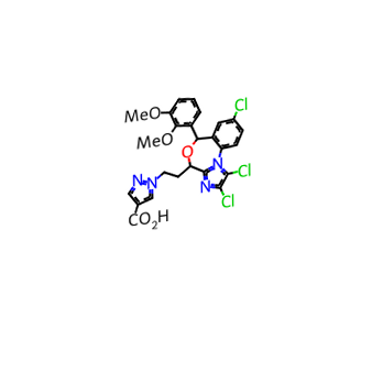 COc1cccc(C2OC(CCn3cc(C(=O)O)cn3)c3nc(Cl)c(Cl)n3-c3ccc(Cl)cc32)c1OC